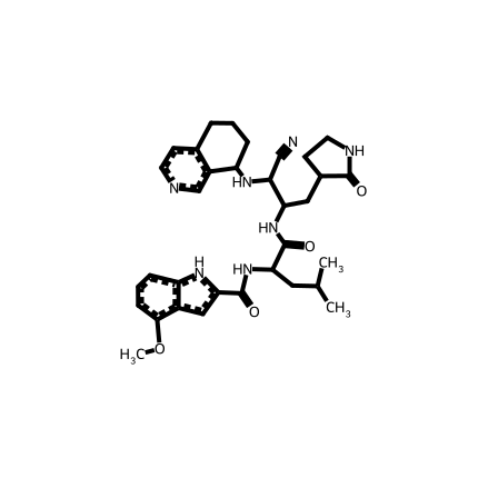 COc1cccc2[nH]c(C(=O)NC(CC(C)C)C(=O)NC(CC3CCNC3=O)C(C#N)NC3CCCc4ccncc43)cc12